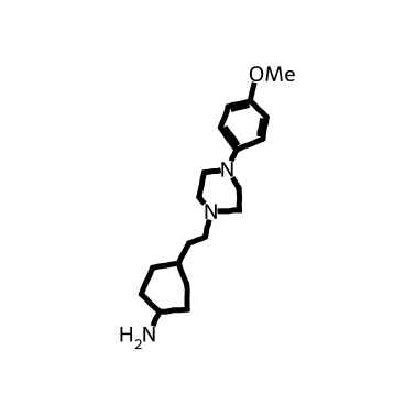 COc1ccc(N2CCN(CCC3CCC(N)CC3)CC2)cc1